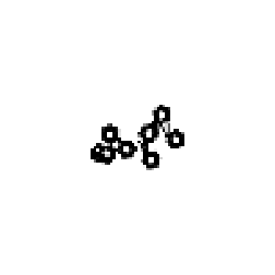 c1ccc(N(c2ccc3c(c2)-c2ccccc2C32C3CC4CC(C3)CC2C4)c2ccc3c4ccccc4n(-c4ccccc4)c3c2)cc1